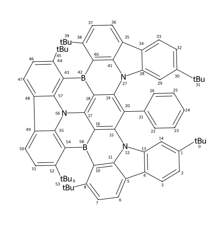 CC(C)(C)c1ccc2c3ccc(C(C)(C)C)c4c3n(c2c1)-c1c2c3c5c(c1-c1ccccc1)-n1c6cc(C(C)(C)C)ccc6c6ccc(C(C)(C)C)c(c61)B5c1c(C(C)(C)C)ccc5c6ccc(C(C)(C)C)c(c6n-3c15)B24